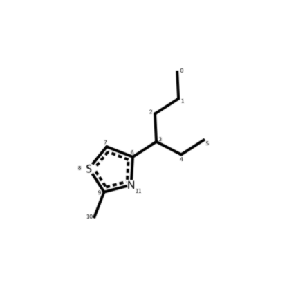 CCCC(CC)c1csc(C)n1